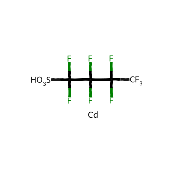 O=S(=O)(O)C(F)(F)C(F)(F)C(F)(F)C(F)(F)F.[Cd]